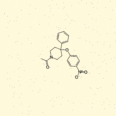 CC(=O)N1CCC(Oc2ccc([N+](=O)[O-])cc2)(c2ccccc2)CC1